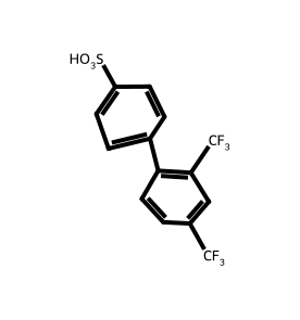 O=S(=O)(O)c1ccc(-c2ccc(C(F)(F)F)cc2C(F)(F)F)cc1